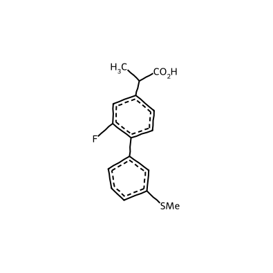 CSc1cccc(-c2ccc(C(C)C(=O)O)cc2F)c1